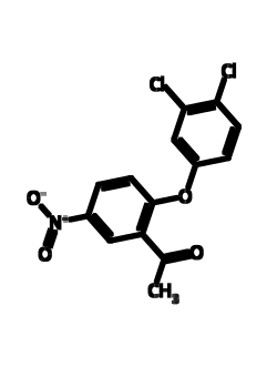 CC(=O)c1cc([N+](=O)[O-])ccc1Oc1ccc(Cl)c(Cl)c1